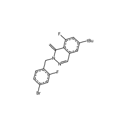 C=C1c2c(F)cc(C(C)(C)C)cc2C=NN1Cc1ccc(Br)cc1F